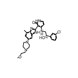 COCCN1CCN(c2cc(C)c3nc(-c4c(NC[C@@H](O)c5cccc(Cl)c5)cc[nH]c4=O)[nH]c3c2)CC1